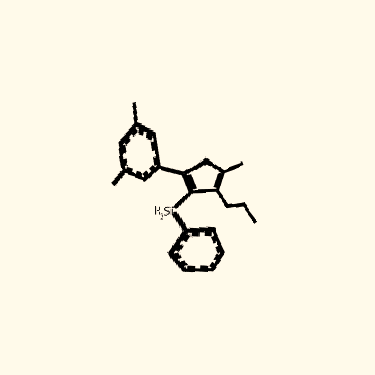 CCCC1=C(C)CC(c2cc(C)cc(C)c2)=C1[SiH2]c1ccccc1